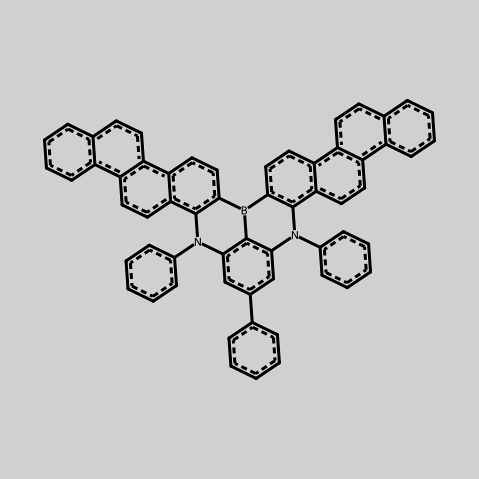 c1ccc(-c2cc3c4c(c2)N(c2ccccc2)c2c(ccc5c2ccc2c6ccccc6ccc52)B4c2ccc4c(ccc5c6ccccc6ccc45)c2N3c2ccccc2)cc1